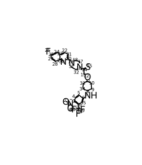 O=[N+]([O-])c1ccc(N[C@H]2CC[C@H](OCC(=S)N3CCN(c4ccc5cc(F)ccc5n4)CC3)CC2)cc1C(F)(F)F